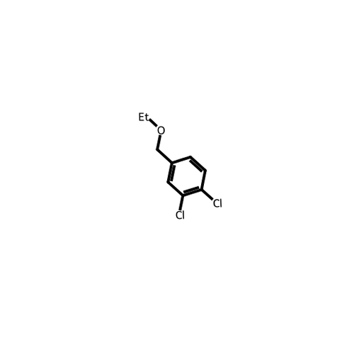 CCOCc1ccc(Cl)c(Cl)c1